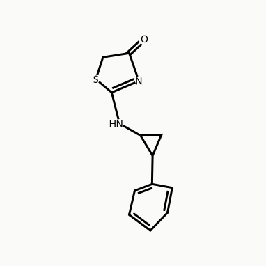 O=C1CSC(NC2CC2c2ccccc2)=N1